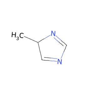 CC1C=NC=N1